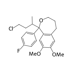 COc1cc2c(cc1OC)C(c1ccc(F)cc1)(C(C)CCCl)OCCC2